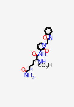 NC(=O)/C=C/CC[C@H](NC(=O)O)C(=O)Nc1cccn(Cc2nc3ccccc3o2)c1=O